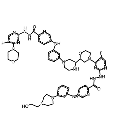 O=C(NNc1ncc(F)c(N2CCOCC2)n1)c1ccc(Nc2cccc(N3CCNC(C4CN(c5nc(NNC(=O)c6ccc(Nc7cccc(N8CCN(CCO)CC8)c7)cn6)ncc5F)CCO4)C3)c2)cn1